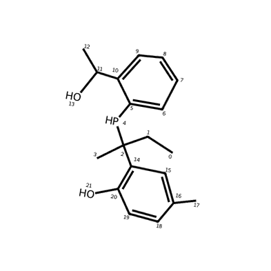 CCC(C)(Pc1ccccc1C(C)O)c1cc(C)ccc1O